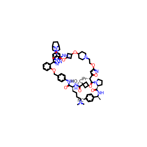 CC(C)[C@@H](C(=O)N1CCC[C@H]1C(=O)N[C@@H](C)c1ccc(C#N)cc1)c1cc(OCCN2CCC(OC3CC(Oc4cc(N5C6CCC5CN(c5cc(-c7ccccc7OCc7ccc(NC(=O)[C@H](CCCCN(C)C)NC(=O)C8(C(=O)O)CCC8)cc7)nnc5N)C6)ccn4)C3)CC2)no1